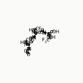 C[C@@H](CC(F)(F)F)Nc1ncc2c(-c3cnn(C4COC4OC4(C)CCC(c5cc(-c6cnn(C7COC7O[C@H]7CC[C@H](c8cc(-c9cnn(C(C)(C)C(=O)N%10CCOCC%10)c9)c9cnc(N[C@@H](C)CC(F)(F)F)nn98)CC7)c6)c6cnc(N[C@@H](C)CC(F)(F)F)nn56)CC4)c3)cc(C3CCC(C)(O)CC3)n2n1